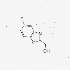 OCc1nc2cc(F)ccc2o1